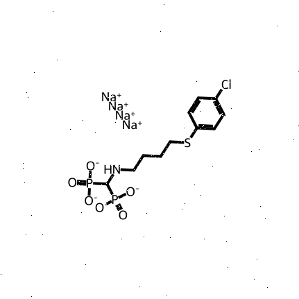 O=P([O-])([O-])C(NCCCCSc1ccc(Cl)cc1)P(=O)([O-])[O-].[Na+].[Na+].[Na+].[Na+]